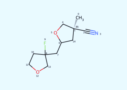 C[C@@]1(C#N)COC(CC2(F)CCOC2)C1